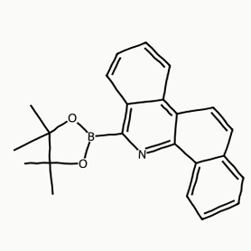 CC1(C)OB(c2nc3c4ccccc4ccc3c3ccccc23)OC1(C)C